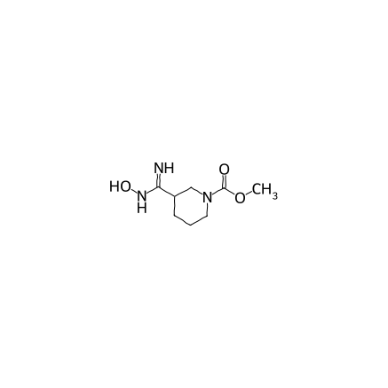 COC(=O)N1CCCC(C(=N)NO)C1